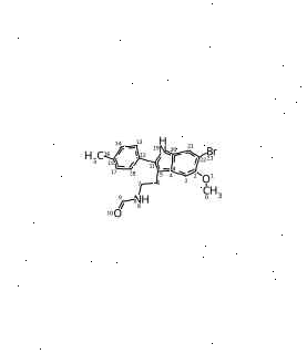 COc1cc2c(CCNC=O)c(-c3ccc(C)cc3)[nH]c2cc1Br